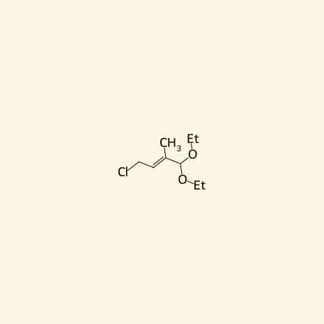 CCOC(OCC)C(C)=CCCl